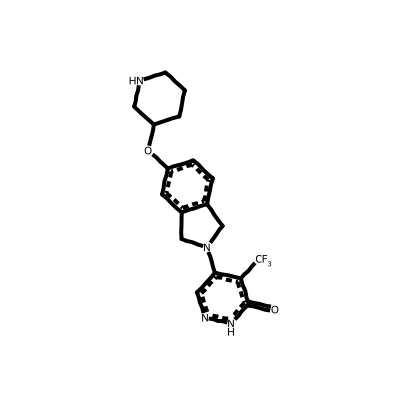 O=c1[nH]ncc(N2Cc3ccc(OC4CCCNC4)cc3C2)c1C(F)(F)F